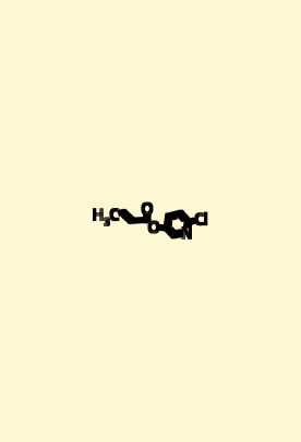 CC=CC(=O)Oc1ccc(Cl)nc1